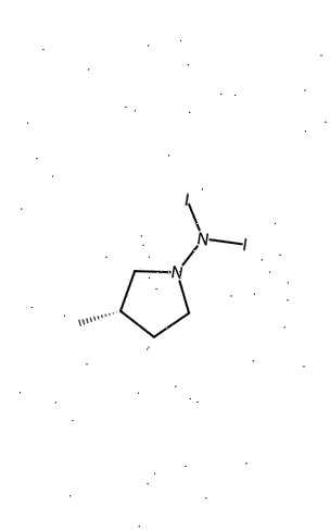 C[C@H]1CCN(N(I)I)C1